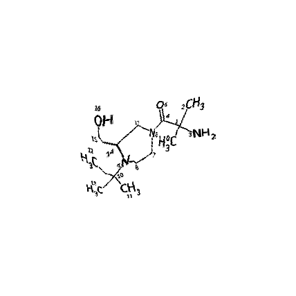 CC(C)(N)C(=O)N1CCN(C(C)(C)C)C(CO)C1